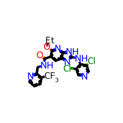 CCOc1nc2[nH]c(Nc3c(Cl)cncc3Cl)nc2cc1C(=O)NCc1ncccc1C(F)(F)F